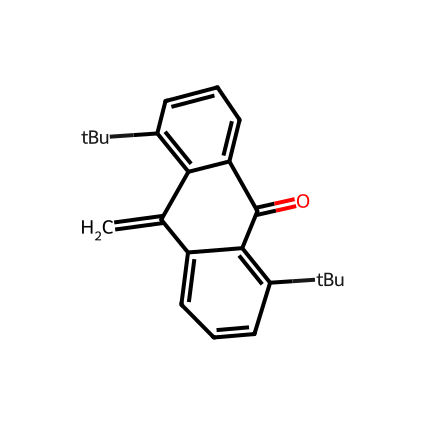 C=C1c2cccc(C(C)(C)C)c2C(=O)c2cccc(C(C)(C)C)c21